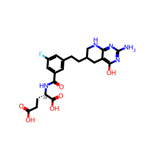 Nc1nc(O)c2c(n1)NCC(CCc1cc(F)cc(C(=O)N[C@@H](CCC(=O)O)C(=O)O)c1)C2